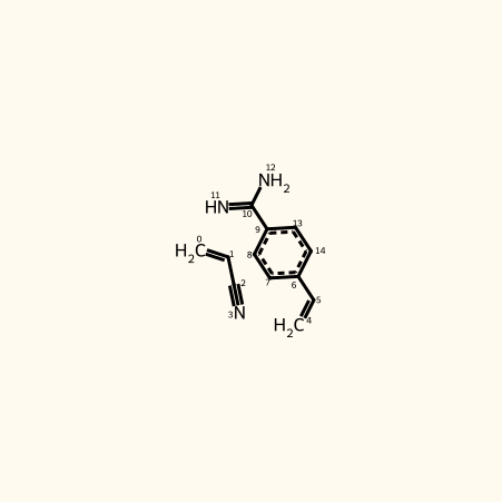 C=CC#N.C=Cc1ccc(C(=N)N)cc1